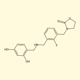 O=C1OCCN1Cc1cccc(CNCc2ccc(O)cc2O)c1F